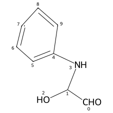 O=CC(O)Nc1cc[c]cc1